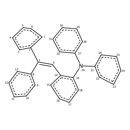 C(=C(c1ccccc1)c1ccccc1)c1ccccc1N(c1ccccc1)c1ccccc1